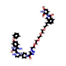 N=C(/C(C(N)=O)=C1/NCC[C@@H](C2CCN(C(=O)c3cn(CCOCCOCCOCCOCCCc4cccc5c4CN(C4CCC(=O)NC4=O)C5=O)nn3)CC2)N1)c1ccc(Oc2ccccc2)cc1